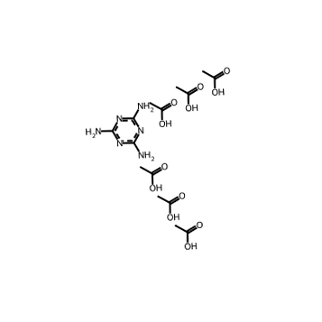 CC(=O)O.CC(=O)O.CC(=O)O.CC(=O)O.CC(=O)O.CC(=O)O.Nc1nc(N)nc(N)n1